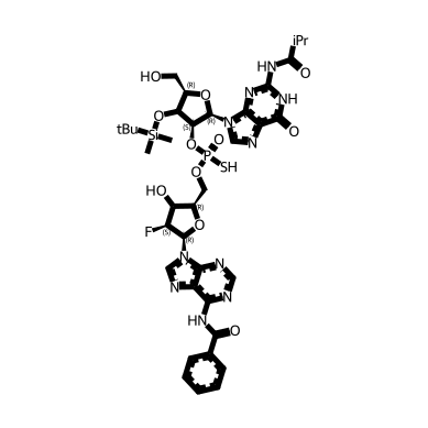 CC(C)C(=O)Nc1nc2c(ncn2[C@@H]2O[C@H](CO)C(O[Si](C)(C)C(C)(C)C)[C@@H]2OP(=O)(S)OC[C@H]2O[C@@H](n3cnc4c(NC(=O)c5ccccc5)ncnc43)[C@@H](F)C2O)c(=O)[nH]1